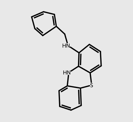 c1ccc(CNc2cccc3c2Nc2ccccc2S3)cc1